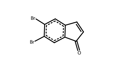 O=C1C=Cc2cc(Br)c(Br)cc21